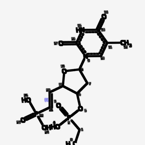 CCP(=O)(O)OC1CC(n2cc(C)c(=O)[nH]c2=O)OC1/C=C/P(=O)(O)O